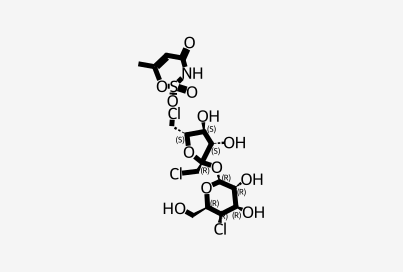 CC1=CC(=O)NS(=O)(=O)O1.OC[C@H]1O[C@H](O[C@]2(CCl)O[C@H](CCl)[C@@H](O)[C@@H]2O)[C@H](O)[C@@H](O)[C@H]1Cl